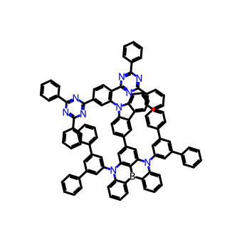 c1ccc(-c2cc(-c3ccccc3)cc(N3c4ccccc4B4c5ccccc5N(c5cc(-c6ccccc6)cc(-c6ccccc6)c5)c5cc(-c6ccc7c(c6)c6ccccc6n7-c6cc(-c7nc(-c8ccccc8)nc(-c8ccccc8)n7)ccc6-c6nc(-c7ccccc7)nc(-c7ccccc7)n6)cc3c54)c2)cc1